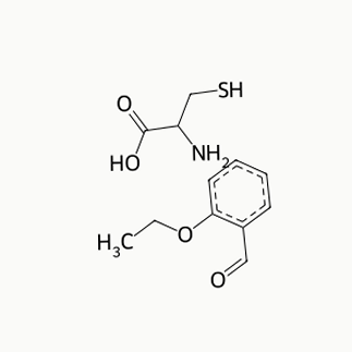 CCOc1ccccc1C=O.NC(CS)C(=O)O